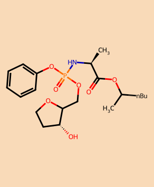 CCCCC(C)OC(=O)[C@H](C)NP(=O)(OCC1OCC[C@H]1O)Oc1ccccc1